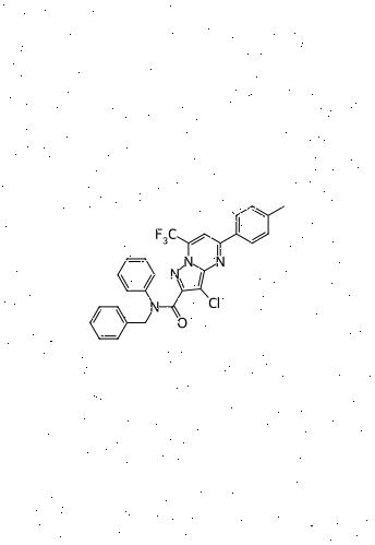 Cc1ccc(-c2cc(C(F)(F)F)n3nc(C(=O)N(Cc4ccccc4)c4ccccc4)c(Cl)c3n2)cc1